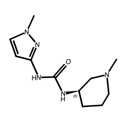 CN1CCC[C@@H](NC(=O)Nc2ccn(C)n2)C1